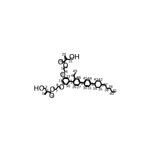 C=C(CO)C(=O)OCCOc1cc(OCCOC(=O)C(=C)CO)cc(-c2ccc(-c3ccc(C4CCC(CCCCC)CC4)cc3)cc2CC)c1